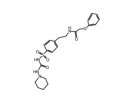 O=C(COc1ccccc1)NCCc1ccc(S(=O)(=O)NC(=O)NN2CCCCC2)cc1